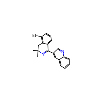 CCc1cccc2c1CC(C)(C)N=C2c1cnc2ccccc2c1